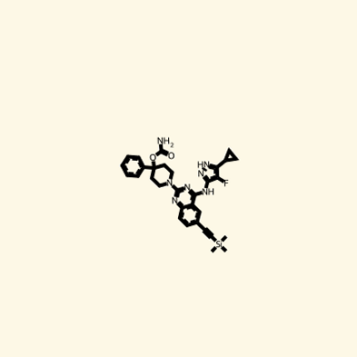 C[Si](C)(C)C#Cc1ccc2nc(N3CCC(OC(N)=O)(c4ccccc4)CC3)nc(Nc3n[nH]c(C4CC4)c3F)c2c1